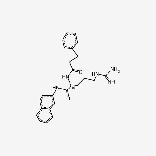 N=C(N)NCCC[C@H](NC(=O)CCc1ccccc1)C(=O)Nc1ccc2ccccc2c1